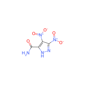 NC(=O)c1[nH]nc([N+](=O)[O-])c1[N+](=O)[O-]